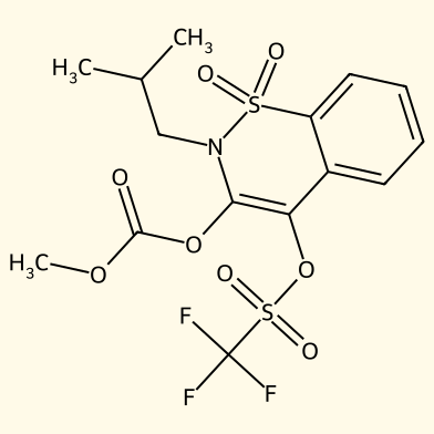 COC(=O)OC1=C(OS(=O)(=O)C(F)(F)F)c2ccccc2S(=O)(=O)N1CC(C)C